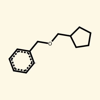 [c]1ccccc1COCC1CCCC1